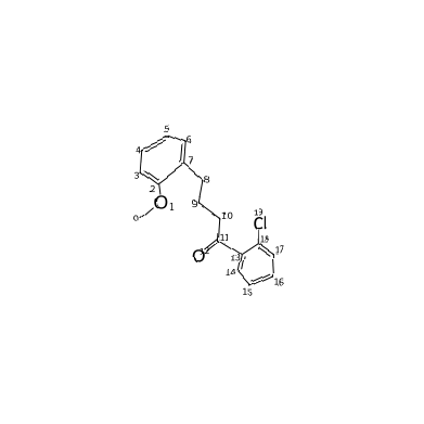 COc1ccccc1CCCC(=O)c1ccccc1Cl